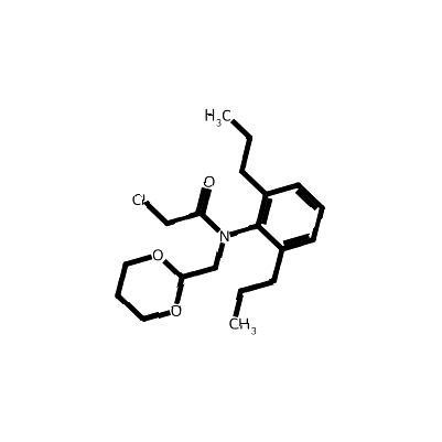 CCCc1cccc(CCC)c1N(CC1OCCCO1)C(=O)CCl